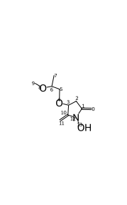 C=C1CC(OCC(C)OC)C(=C)N1O